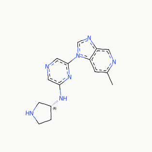 Cc1cc2c(cn1)ncn2-c1cncc(N[C@@H]2CCNC2)n1